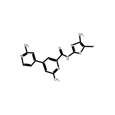 Cc1cc(-c2cc(C)nc(C(=O)Nc3nc(C)c(F)s3)c2)ccn1